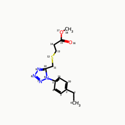 CCc1ccc(-n2nnnc2CSCCC(=O)OC)cc1